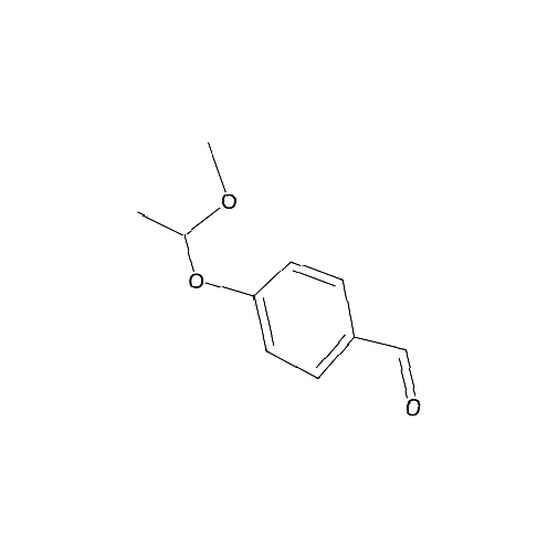 COC(C)Oc1ccc(C=O)cc1